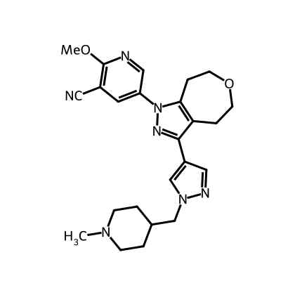 COc1ncc(-n2nc(-c3cnn(CC4CCN(C)CC4)c3)c3c2CCOCC3)cc1C#N